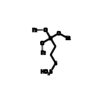 CCO[Si](CCSS(=O)(=O)O)(OCC)OCC